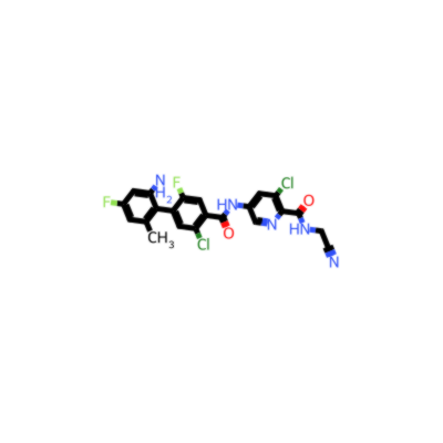 Cc1cc(F)cc(N)c1-c1cc(Cl)c(C(=O)Nc2cnc(C(=O)NCC#N)c(Cl)c2)cc1F